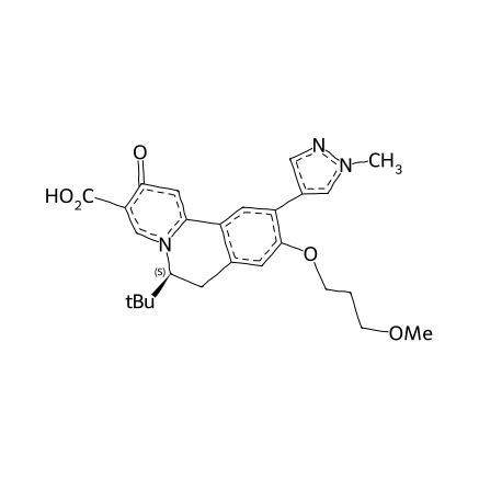 COCCCOc1cc2c(cc1-c1cnn(C)c1)-c1cc(=O)c(C(=O)O)cn1[C@H](C(C)(C)C)C2